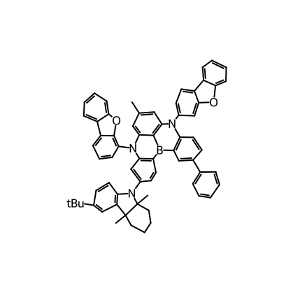 Cc1cc2c3c(c1)N(c1cccc4c1oc1ccccc14)c1cc(N4c5ccc(C(C)(C)C)cc5C5(C)CCCCC45C)ccc1B3c1cc(-c3ccccc3)ccc1N2c1ccc2c(c1)oc1ccccc12